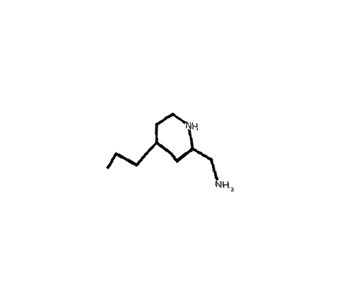 CCCC1CCNC(CN)C1